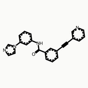 O=C(Nc1cccc(-n2ccnc2)c1)c1cccc(C#Cc2cccnc2)c1